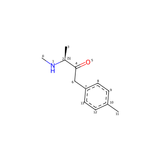 CN[C@@H](C)C(=O)Cc1ccc(C)cc1